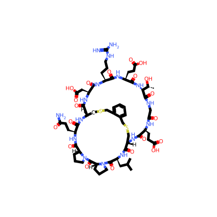 CC(C)C[C@@H]1NC(=O)[C@@H]2CSCc3ccccc3CSC[C@H](NC(=O)[C@H](CCC(N)=O)NC(=O)[C@@H]3CCCN3C(=O)[C@H]3CCCN3C1=O)C(=O)N[C@@H](CC(=O)O)C(=O)N[C@@H](CCCNC(=N)N)C(=O)N[C@@H](CCC(=O)O)C(=O)N[C@@H]([C@@H](C)O)C(=O)NCC(=O)N[C@@H](CCC(=O)O)C(=O)N2